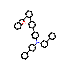 c1ccc(-c2ccc(N(c3ccc(-c4ccc(-c5ccccc5-c5cc6ccccc6o5)cc4)cc3)c3cccc(-c4ccccc4)c3)cc2)cc1